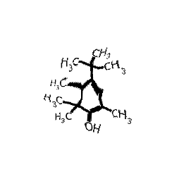 CC1=C(O)C(C)(C)C(C)C(C(C)(C)C)=C1